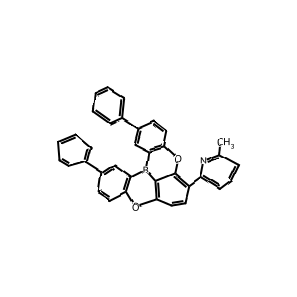 Cc1cccc(-c2ccc3c4c2Oc2ccc(-c5ccccc5)cc2B4c2cc(-c4ccccc4)ccc2O3)n1